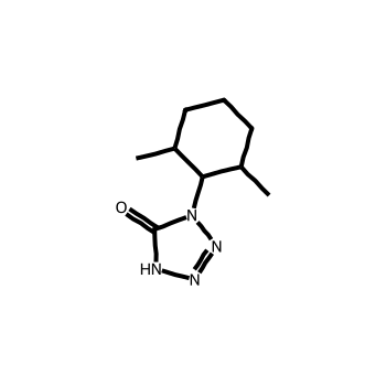 CC1CCCC(C)C1n1nn[nH]c1=O